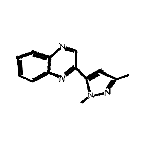 Cc1cc(-c2cnc3ccccc3n2)n(C)n1